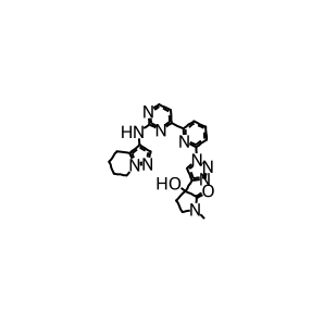 CN1CCC(O)(c2cn(-c3cccc(-c4ccnc(Nc5cnn6c5CCCC6)n4)n3)nn2)C1=O